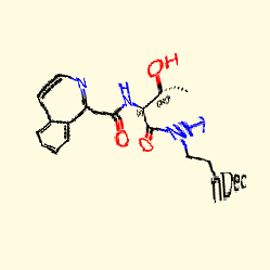 CCCCCCCCCCCCNC(=O)[C@@H](NC(=O)c1nccc2ccccc12)[C@@H](C)O